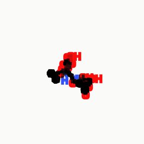 O=C(N[C@@H](CCCCNC(=O)c1ccc(-c2c3ccc(=O)cc-3oc3cc(O)ccc23)c(C(=O)O)c1)C(=O)ON1C(=O)CC(S(=O)(=O)O)C1=O)OCC1c2ccccc2-c2ccccc21